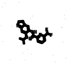 CC(C)Oc1cc2nccn2cc1NC(=O)c1cccc(C(F)F)n1